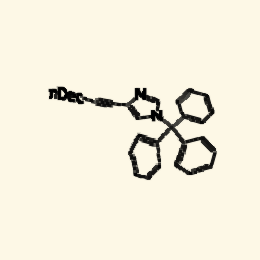 CCCCCCCCCCC#Cc1cn(C(c2ccccc2)(c2ccccc2)c2ccccc2)cn1